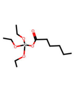 CCCCCC(=O)O[Si](OCC)(OCC)OCC